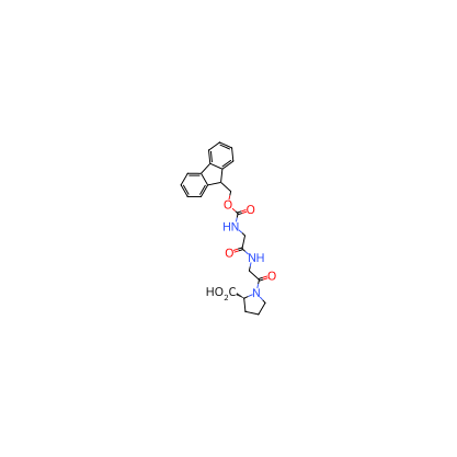 O=C(CNC(=O)OCC1c2ccccc2-c2ccccc21)NCC(=O)N1CCC[C@H]1C(=O)O